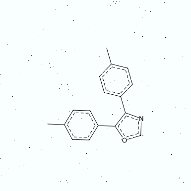 Cc1ccc(-c2n[c]oc2-c2ccc(C)cc2)cc1